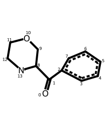 O=C(c1ccccc1)C1COCC[N]1